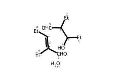 CC/C=C(/C=O)CC.CCC(O)C(C=O)CC.O